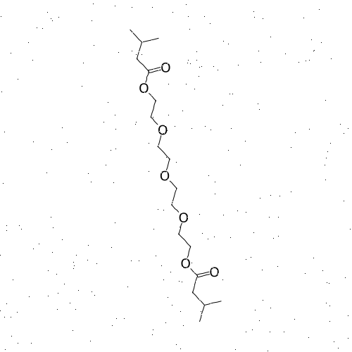 CC(C)CC(=O)OCCOCCOCCOCCOC(=O)CC(C)C